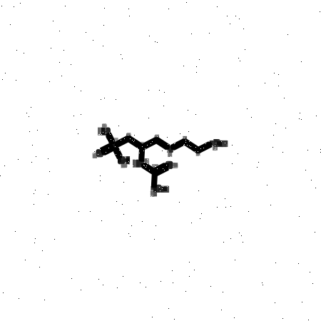 CCCCCCCCCCCCSCC(CP(=O)(O)O)NC(=O)CCCCCCCCCC